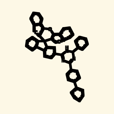 c1ccc(-c2ccc(C3=NC(c4ccccc4)NC(c4ccc5c(c4)C4(c6ccccc6-5)c5ccc6ccccc6c5Oc5c4ccc4ccccc54)=N3)cc2)cc1